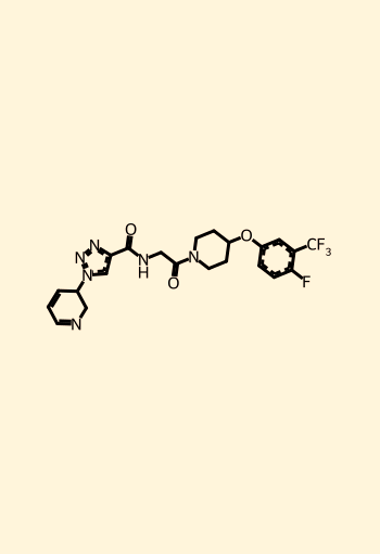 O=C(NCC(=O)N1CCC(Oc2ccc(F)c(C(F)(F)F)c2)CC1)c1cn(C2C=CC=NC2)nn1